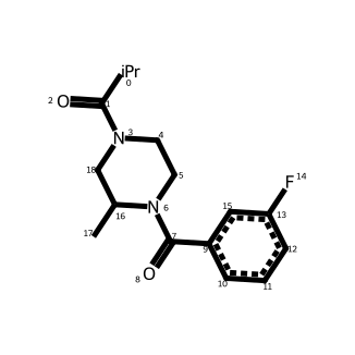 CC(C)C(=O)N1CCN(C(=O)c2cccc(F)c2)C(C)C1